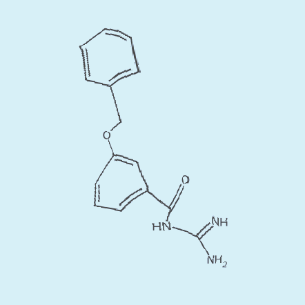 N=C(N)NC(=O)c1cccc(OCc2ccccc2)c1